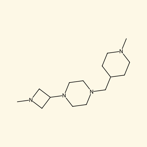 CN1CCC(CN2CCN(C3CN(C)C3)CC2)CC1